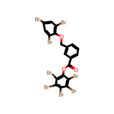 O=C(Oc1c(Br)c(Br)c(Br)c(Br)c1Br)c1cccc(COc2c(Br)cc(Br)cc2Br)c1